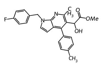 COC(=O)C(O)c1c(C)nc2c(ccn2Cc2ccc(F)cc2)c1-c1ccc(C)cc1